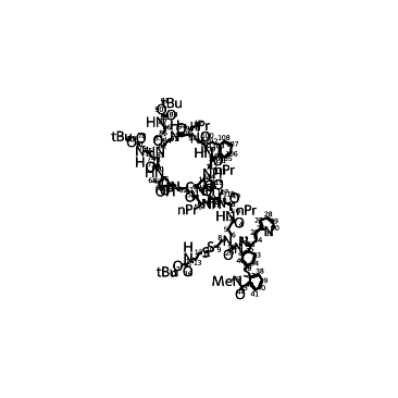 CCC[C@H](NC(=O)CCN(CCSSCCNC(=O)OC(C)(C)C)C(=O)n1nc(/C=C/c2ccccn2)c2ccc(Sc3ccccc3C(=O)NC)cc21)C(=O)N[C@H](C(=O)N[C@@H](CCC)C(=O)N[C@H]1CCNC(=O)[C@H]([C@@H](C)O)NC(=O)[C@H](CCNC(=O)OC(C)(C)C)NC(=O)[C@H](CCNC(=O)OC(C)(C)C)NC(=O)[C@H](CC(C)C)NC(=O)[C@@H](Cc2ccccc2)NC(=O)[C@H](CCC)NC1=O)[C@@H](C)O